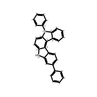 c1ccc(-c2ccc3c(c2)[nH]c2ccc4c(c5ccccc5n4-c4ccccc4)c23)cc1